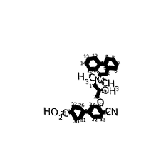 C[N+](C)(CCc1ccccc1-c1ccccc1)C[C@@H](O)COc1cc(-c2ccc(C(=O)O)cc2)ccc1C#N